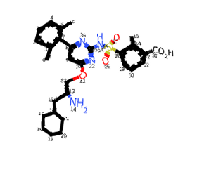 Cc1cccc(C)c1-c1cc(OCC(N)CC2CCCCC2)nc(NS(=O)(=O)c2cccc(C(=O)O)c2C)n1